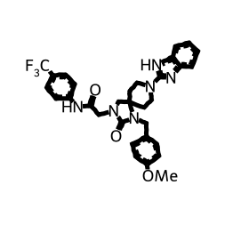 COc1ccc(CN2C(=O)N(CC(=O)Nc3ccc(C(F)(F)F)cc3)CC23CCN(c2nc4ccccc4[nH]2)CC3)cc1